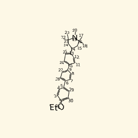 CCOc1ccc(-c2ccc(-c3ccc(C4CC(C)(C)N(C)C(C)(C)C4)cc3)cc2)cc1